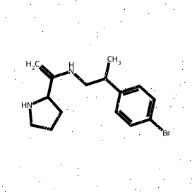 C=C(NCC(C)c1ccc(Br)cc1)C1CCCN1